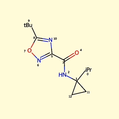 CC(C)C1(NC(=O)c2noc(C(C)(C)C)n2)CC1